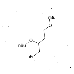 CCCCOCCC(CC(C)C)OCCCC